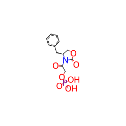 O=C(COP(=O)(O)O)N1C(=O)OC[C@@H]1Cc1ccccc1